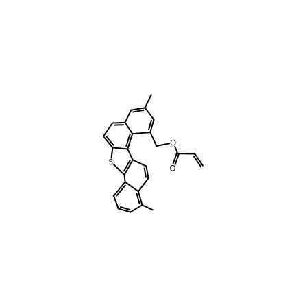 C=CC(=O)OCc1cc(C)cc2ccc3sc4c5cccc(C)c5ccc4c3c12